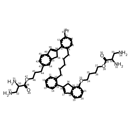 CC(C)c1ccc(CCCCCc2ccccc2C2=Cc3cccc(OCCCCOC(=O)C(N)CN)c3C2)c(C2=Cc3ccc(CCCOC(=O)C(N)CN)cc3C2)c1